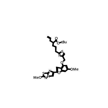 C=CCC(CCCc1nc(COc2cc(OC)cc3oc(-c4cn5nc(OC)sc5n4)cc23)cs1)C(=O)OC(C)(C)C